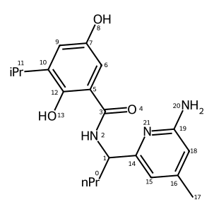 CCCC(NC(=O)c1cc(O)cc(C(C)C)c1O)c1cc(C)cc(N)n1